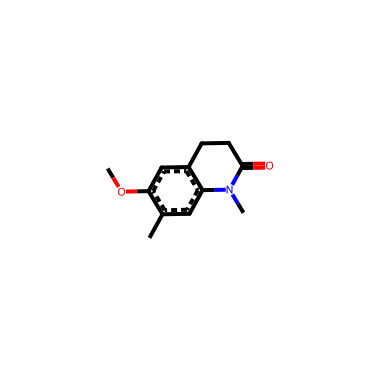 COc1cc2c(cc1C)N(C)C(=O)CC2